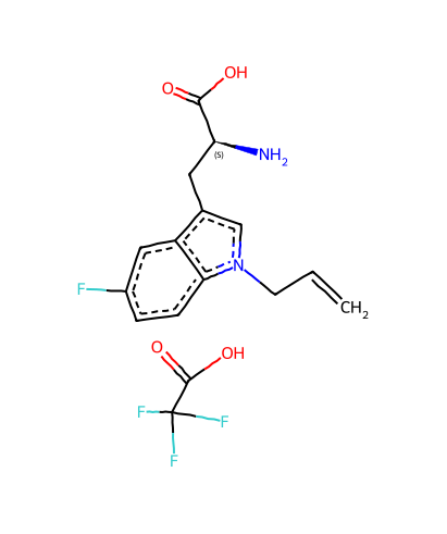 C=CCn1cc(C[C@H](N)C(=O)O)c2cc(F)ccc21.O=C(O)C(F)(F)F